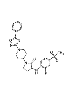 CS(=O)(=O)c1ccc(NC2CCN(C3CCN(c4noc(-c5ccccc5)n4)CC3)C2=O)c(F)c1